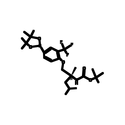 CC(C)C[C@@](C)(COc1ccc(B2OC(C)(C)C(C)(C)O2)cc1C(F)(F)F)NC(=O)OC(C)(C)C